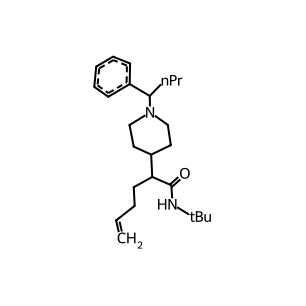 C=CCCC(C(=O)NC(C)(C)C)C1CCN(C(CCC)c2ccccc2)CC1